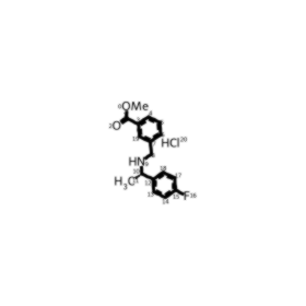 COC(=O)c1cccc(CN[C@H](C)c2ccc(F)cc2)c1.Cl